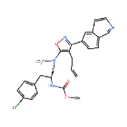 C=CCc1c(-c2ccc3cnccc3c2)noc1N(C[C@H](Cc1ccc(Cl)cc1)NC(=O)OC(C)(C)C)C(=O)O